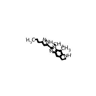 CCCc1cc(-c2nc3cc4c(c(C)c3n2C)NCC4)[nH]n1